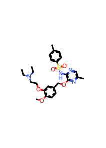 CCN(CC)CCOc1cc(COc2nc(C)cnc2NS(=O)(=O)c2ccc(C)cc2)ccc1OC